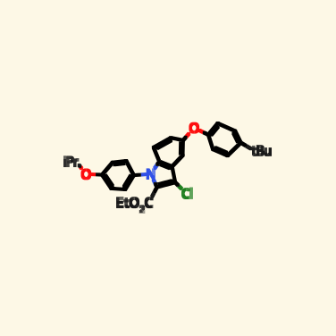 CCOC(=O)c1c(Cl)c2cc(Oc3ccc(C(C)(C)C)cc3)ccc2n1-c1ccc(OC(C)C)cc1